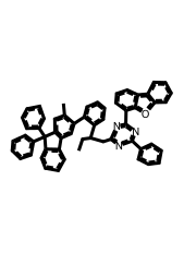 CCC(Cc1nc(-c2ccccc2)nc(-c2cccc3c2oc2ccccc23)n1)c1ccccc1-c1cc2c(cc1C)C(c1ccccc1)(c1ccccc1)c1ccccc1-2